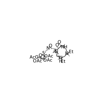 CCC1=C(C)c2cc3[nH]c(cc4nc(c5c6[nH]c(cc1n2)c(C)c6C(=O)OC5)[C@@H](CCC(=O)N(C)CCCS[C@@H]1O[C@H](COC(C)=O)[C@@H](OC(C)=O)[C@H](OC(C)=O)[C@H]1OC(C)=O)[C@@H]4C)c(C)c3CC